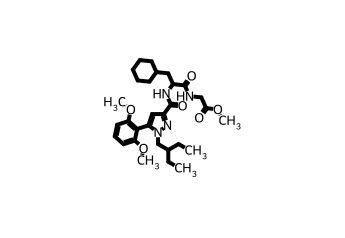 CCC(CC)Cn1nc(C(=O)NC(CC2CCCCC2)C(=O)NCC(=O)OC)cc1-c1c(OC)cccc1OC